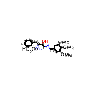 COc1cc(CNC[C@H](O)[C@H](Cc2ccccc2)NC(=O)O)cc(OC)c1OC